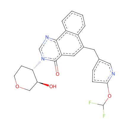 O=c1c2cc(Cc3ccc(OC(F)F)nc3)c3ccccc3c2ncn1[C@H]1CCOC[C@@H]1O